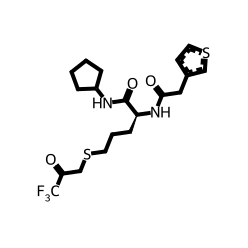 O=C(Cc1ccsc1)N[C@@H](CCCSCC(=O)C(F)(F)F)C(=O)NC1CCCC1